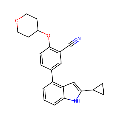 N#Cc1cc(-c2cccc3[nH]c(C4CC4)cc23)ccc1OC1CCOCC1